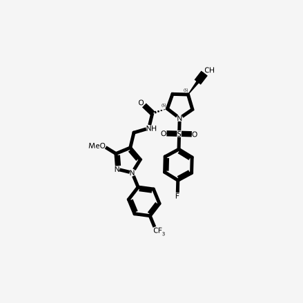 C#C[C@@H]1C[C@@H](C(=O)NCc2cn(-c3ccc(C(F)(F)F)cc3)nc2OC)N(S(=O)(=O)c2ccc(F)cc2)C1